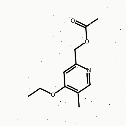 CCOc1cc(COC(C)=O)ncc1C